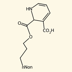 CCCCCCCCCCCCOC(=O)C1NC=CC=C1C(=O)O